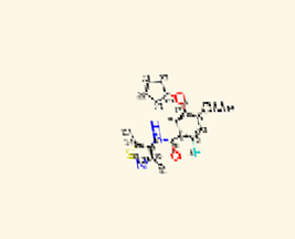 COc1cc(F)c(C(=O)Nc2c(C)nsc2C)cc1OC1CCCC1